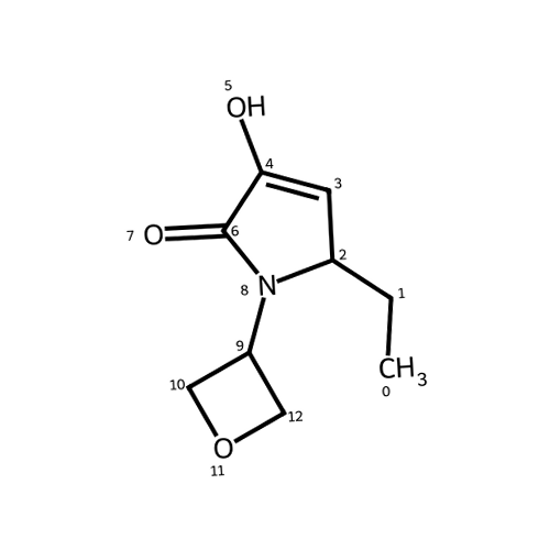 CCC1C=C(O)C(=O)N1C1COC1